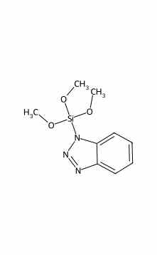 CO[Si](OC)(OC)n1nnc2ccccc21